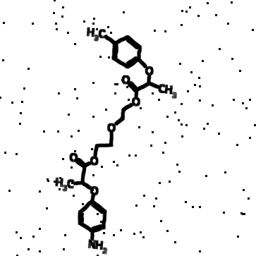 Cc1ccc(OC(C)C(=O)OCCOCCOC(=O)C(C)Oc2ccc(N)cc2)cc1